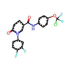 O=C(Nc1ccc(OC(F)(F)Cl)cc1)c1ccc(=O)n(-c2ccc(F)c(F)c2)c1